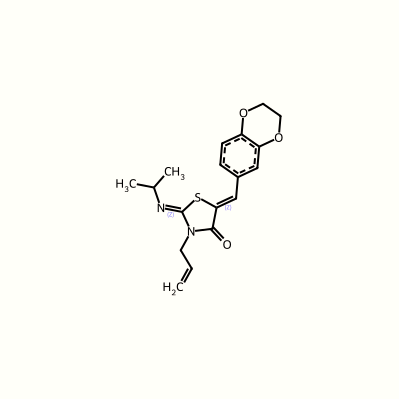 C=CCN1C(=O)/C(=C/c2ccc3c(c2)OCCO3)S/C1=N\C(C)C